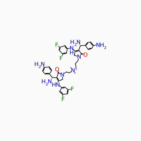 C[N+](C)(CCCN1CC(Nc2cc(F)cc(F)c2)=C([C@H](N)c2ccc(N)cc2)C1=O)CCN1CC(Nc2cc(F)cc(F)c2)=C([C@H](N)c2ccc(N)cc2)C1=O